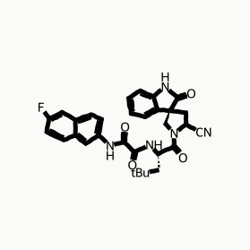 CC(C)(C)C[C@H](NC(=O)C(=O)Nc1ccc2cc(F)ccc2c1)C(=O)N1C[C@]2(CC1C#N)C(=O)Nc1ccccc12